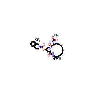 CC(C)(C)OC(=O)N[C@H]1CCCCC/C=C\[C@@H]2C[C@@H]2NC(=O)[C@@H]2C[C@@H](OC(=O)N3CCc4cccc(C(F)(F)F)c4C3)CN2C1=O